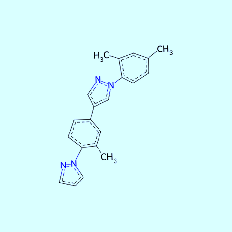 Cc1ccc(-n2cc(-c3ccc(-n4cccn4)c(C)c3)cn2)c(C)c1